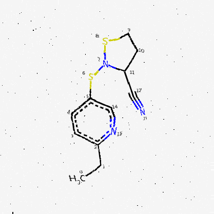 CCc1ccc(SN2SCCC2C#N)cn1